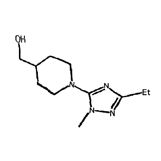 CCc1nc(N2CCC(CO)CC2)n(C)n1